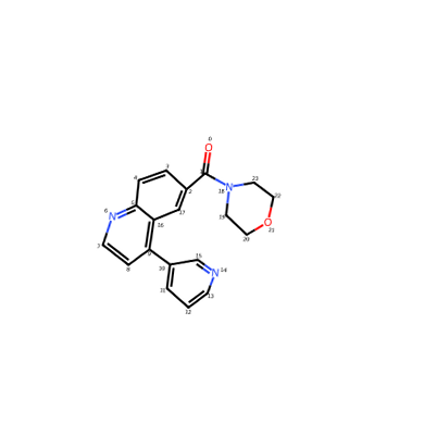 O=C(c1ccc2nccc(-c3cccnc3)c2c1)N1CCOCC1